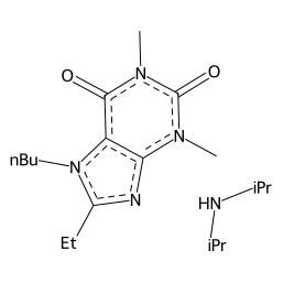 CC(C)NC(C)C.CCCCn1c(CC)nc2c1c(=O)n(C)c(=O)n2C